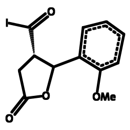 COc1ccccc1C1OC(=O)C[C@@H]1C(=O)I